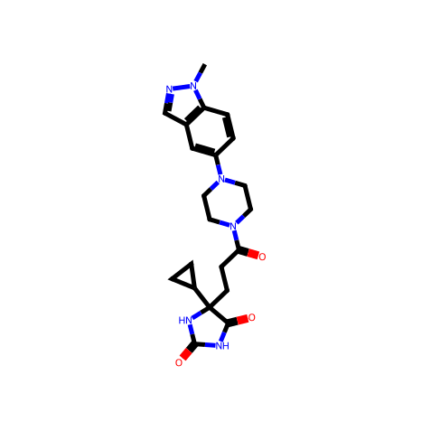 Cn1ncc2cc(N3CCN(C(=O)CCC4(C5CC5)NC(=O)NC4=O)CC3)ccc21